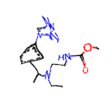 CCN(CCNC(=O)OC)C(C)c1cccc(-n2cnnn2)c1